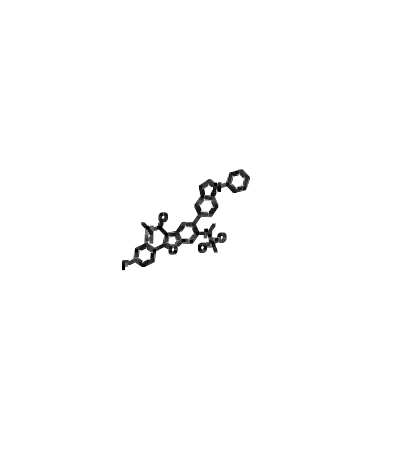 CNC(=O)c1c(-c2ccc(F)cc2)oc2cc(N(C)S(C)(=O)=O)c(-c3ccc4c(ccn4-c4ccccc4)c3)cc12